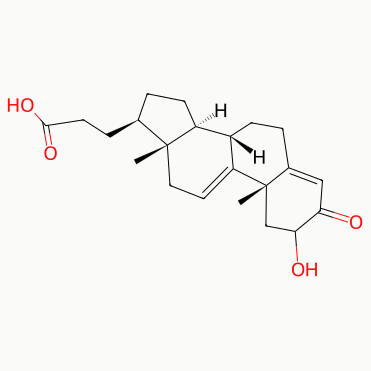 C[C@]12CC(O)C(=O)C=C1CC[C@@H]1C2=CC[C@]2(C)[C@@H](CCC(=O)O)CC[C@@H]12